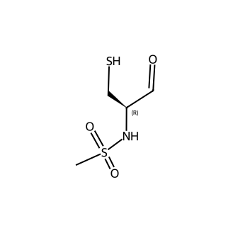 CS(=O)(=O)N[C@H](C=O)CS